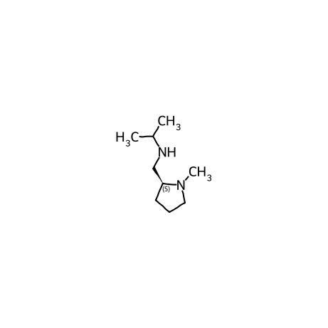 CC(C)NC[C@@H]1CCCN1C